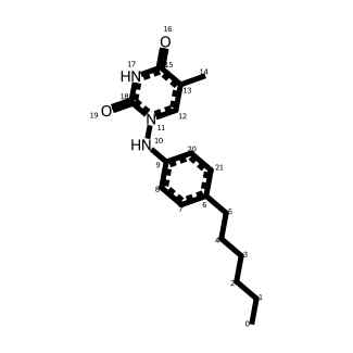 CCCCCCc1ccc(Nn2cc(C)c(=O)[nH]c2=O)cc1